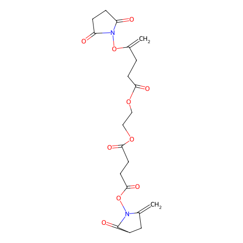 C=C(CCC(=O)OCCOC(=O)CCC(=O)ON1C(=C)CCC1=O)ON1C(=O)CCC1=O